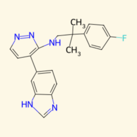 CC(C)(CNc1nnccc1-c1ccc2nc[nH]c2c1)c1ccc(F)cc1